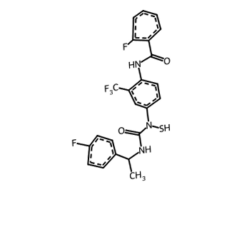 CC(NC(=O)N(S)c1ccc(NC(=O)c2ccccc2F)c(C(F)(F)F)c1)c1ccc(F)cc1